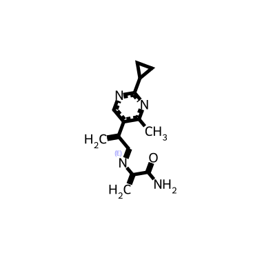 C=C(/N=C/C(=C)c1cnc(C2CC2)nc1C)C(N)=O